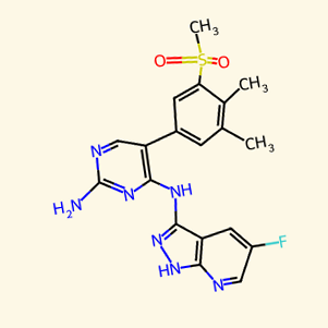 Cc1cc(-c2cnc(N)nc2Nc2n[nH]c3ncc(F)cc23)cc(S(C)(=O)=O)c1C